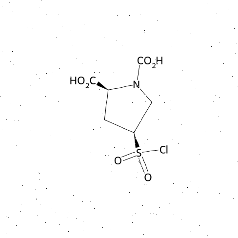 O=C(O)[C@@H]1C[C@H](S(=O)(=O)Cl)CN1C(=O)O